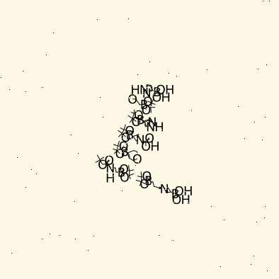 CC(C)(C)OC(=O)NCCB1OC(C)(C)C(C)(C)O1.CC1(C)OB(C2=CCOCC2)OC1(C)C.CC1(C)OB(C2CN(C(=O)O)C2)OC1(C)C.CC1(C)OB(CCC#N)OC1(C)C.CC1(C)OB(c2cn[nH]c2)OC1(C)C.COCCB1OC(C)(C)C(C)(C)O1.OB(O)C1CC1.OB(O)c1cc[nH]n1